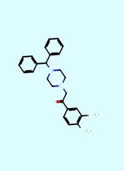 COc1ccc(C(=O)CN2CCN(C(c3ccccc3)c3ccccc3)CC2)cc1OC